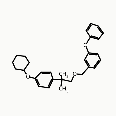 CC(C)(COCc1cccc(Oc2ccccc2)c1)c1ccc(OC2CCCCC2)cc1